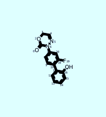 O=C1OCC=NN1c1ccc(-c2ccccc2O)c(F)c1